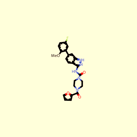 COc1ccc(F)cc1-c1ccc2c(NC(=O)N3CCN(C(=O)c4ccco4)CC3)n[nH]c2c1